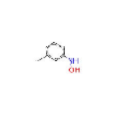 [CH2]c1cccc(NO)c1